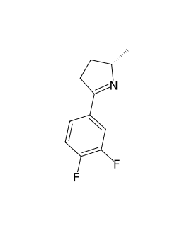 C[C@H]1CCC(c2ccc(F)c(F)c2)=N1